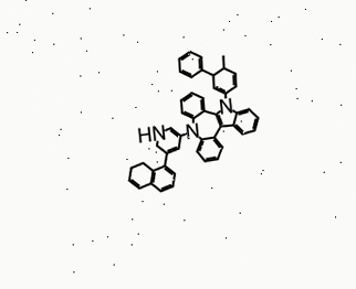 CC1C=CC(n2c3c(c4ccccc42)-c2ccccc2N(C2=CNCC(c4cccc5c4CCC=C5)=C2)c2ccccc2-3)=CC1c1ccccc1